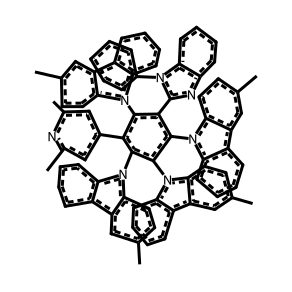 Cc1ccc2c(c1)c1ccccc1n2-c1c(-c2cc(C)nc(C)c2)c(-n2c3ccccc3c3cc(C)ccc32)c(-n2c3ccccc3c3cc(C)ccc32)c(-n2c3ccccc3c3cc(C)ccc32)c1-c1nc2ccccc2n1-c1ccccc1